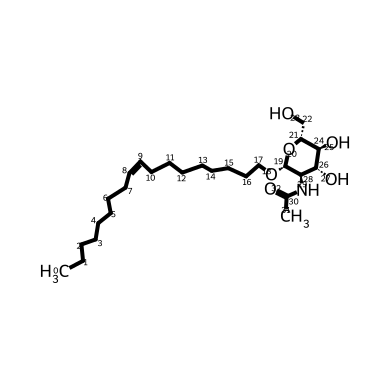 CCCCCCCC/C=C\CCCCCCCCO[C@@H]1O[C@H](CO)[C@@H](O)[C@H](O)[C@H]1NC(C)=O